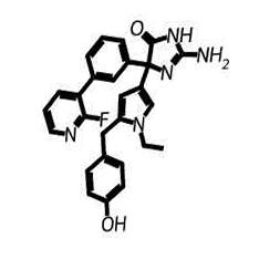 CCn1cc(C2(c3cccc(-c4cccnc4F)c3)N=C(N)NC2=O)cc1Cc1ccc(O)cc1